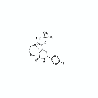 CC(C)(C)OC(=O)N1CC(c2ccc(F)cc2)NC(=O)C12COCCOC2